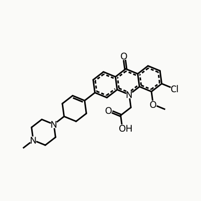 COc1c(Cl)ccc2c(=O)c3ccc(C4=CCC(N5CCN(C)CC5)CC4)cc3n(CC(=O)O)c12